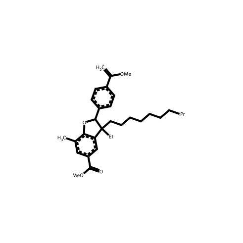 C=C(OC)c1ccc(C2Oc3c(C)cc(C(=O)OC)cc3C2(CC)CCCCCCCC(C)C)cc1